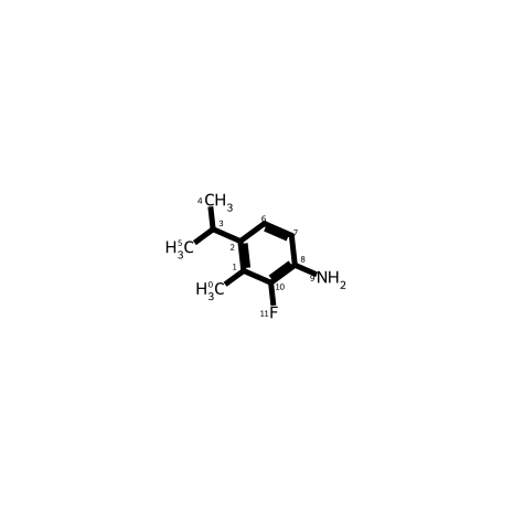 Cc1c(C(C)C)ccc(N)c1F